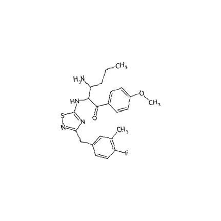 CCCC(N)C(Nc1nc(Cc2ccc(F)c(C)c2)ns1)C(=O)c1ccc(OC)cc1